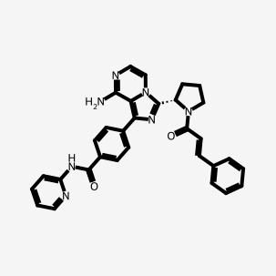 Nc1nccn2c([C@@H]3CCCN3C(=O)C=Cc3ccccc3)nc(-c3ccc(C(=O)Nc4ccccn4)cc3)c12